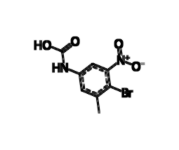 Cc1cc(NC(=O)O)cc([N+](=O)[O-])c1Br